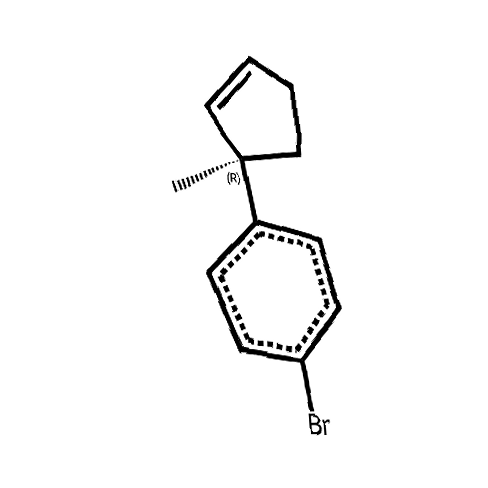 C[C@]1(c2ccc(Br)cc2)C=CCC1